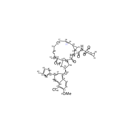 COc1ccc2c(O[C@H]3C[C@H]4C(=O)N(C)CCCC/C=C\C5C[C@@]5(C(=O)NS(=O)(=O)C5CC5)NC(=O)N4C3)cc(-c3nc(C)cs3)nc2c1Cl